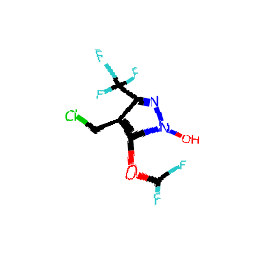 On1nc(C(F)(F)F)c(CCl)c1OC(F)F